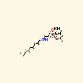 CCCCCCC=CNCCC[Si](C)(OC)OC